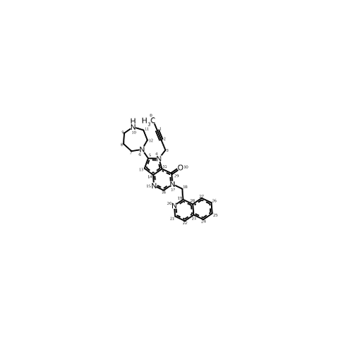 CC#CCn1c(N2CCCNCC2)cc2ncn(Cc3nccc4ccccc34)c(=O)c21